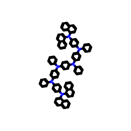 c1ccc(N(c2ccc(N(c3ccccc3)c3ccc(N(c4ccccc4)c4ccc(N(c5cccc6ccccc56)c5cccc6ccccc56)cc4)cc3)cc2)c2ccc(N(c3ccccc3)c3ccc(N(c4cccc5ccccc45)c4cccc5ccccc45)cc3)cc2)cc1